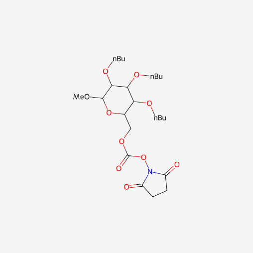 CCCCOC1C(COC(=O)ON2C(=O)CCC2=O)OC(OC)C(OCCCC)C1OCCCC